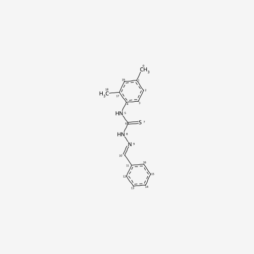 Cc1ccc(NC(=S)NN=Cc2ccccc2)c(C)c1